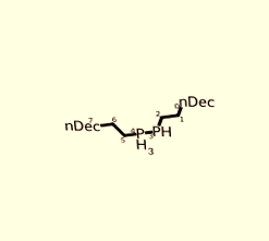 CCCCCCCCCCCCP[PH3]CCCCCCCCCCCC